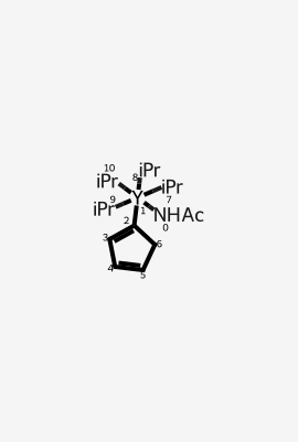 CC(=O)[NH][Y]([C]1=CC=CC1)([CH](C)C)([CH](C)C)([CH](C)C)[CH](C)C